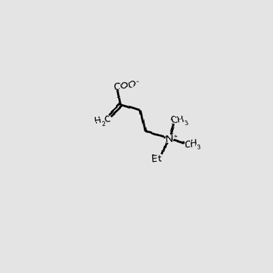 C=C(CC[N+](C)(C)CC)C(=O)[O-]